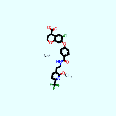 COc1nc(C(F)(F)F)ccc1CCNC(=O)c1ccc(Oc2cc3c(cc2Cl)C(C(=O)[O-])CCO3)cc1.[Na+]